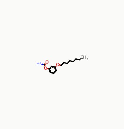 CCCCCCCCOc1cccc(OC([NH])=O)c1